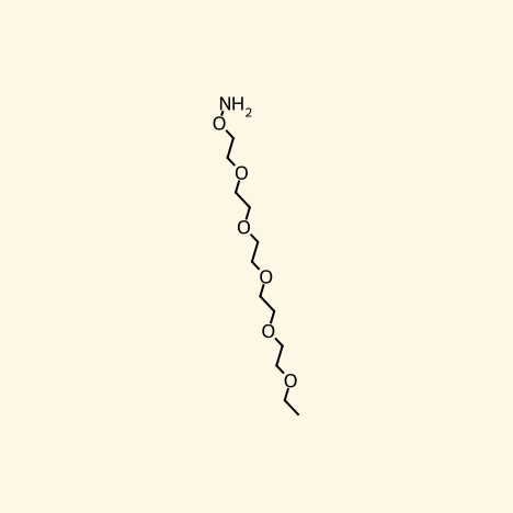 CCOCCOCCOCCOCCOCCON